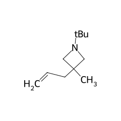 C=CCC1(C)CN(C(C)(C)C)C1